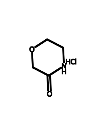 Cl.O=C1COCCN1